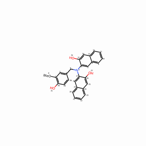 COc1cc([C]N(c2cc3ccccc3cc2O)c2cc3ccccc3cc2O)ccc1O